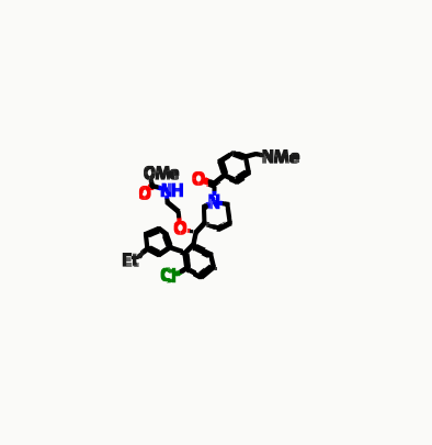 CCc1cccc(-c2c(Cl)cccc2[C@H](OCCNC(=O)OC)[C@@H]2CCCN(C(=O)c3ccc(CNC)cc3)C2)c1